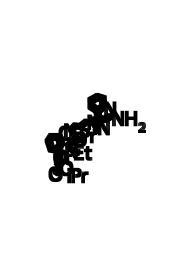 CCCc1nc2c(N)nc3ccccc3c2n1CCCN(Cc1cccc(OCC(=O)OC(C)C)c1)C(=O)CN(CC)CC